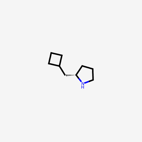 C1CC(C[C@@H]2CCCN2)C1